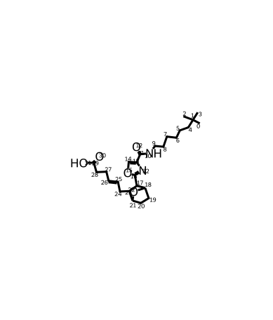 CC(C)(C)CCCCCCNC(=O)c1coc(C2C3CCC(O3)C2CC=CCCC(=O)O)n1